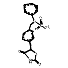 CS(=O)(=O)N(Cc1ccc(C2SC(=O)NC2=O)cc1)c1ccccc1